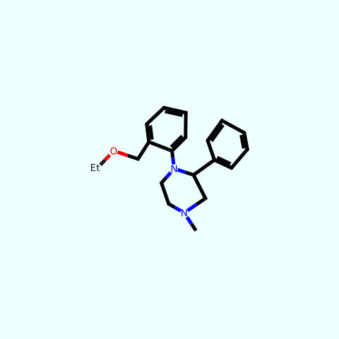 CCOCc1ccccc1N1CCN(C)CC1c1ccccc1